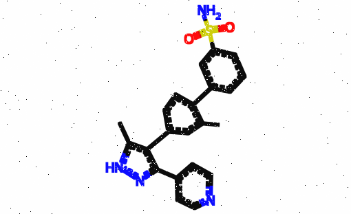 Cc1cc(-c2c(-c3ccncc3)n[nH]c2C)ccc1-c1cccc(S(N)(=O)=O)c1